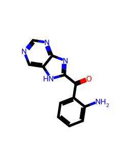 Nc1ccccc1C(=O)c1nc2ncncc2[nH]1